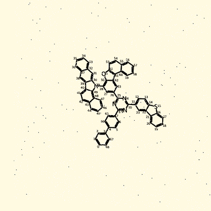 c1ccc(-c2ccc(-c3nc(-c4ccc5sc6ccccc6c5c4)nc(-c4cc(-n5c6cc7ccccc7cc6c6ccc7ccccc7c65)c5oc6ccc7ccccc7c6c5c4)n3)cc2)cc1